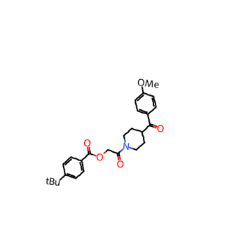 COc1ccc(C(=O)C2CCN(C(=O)COC(=O)c3ccc(C(C)(C)C)cc3)CC2)cc1